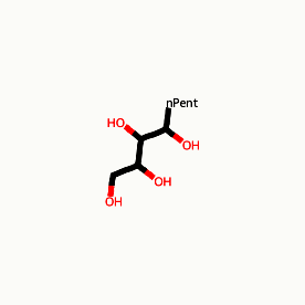 CCCCCC(O)C(O)C(O)CO